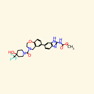 COC(=O)Nc1nc2ccc(-c3ccc4c(c3)CN(C(=O)N3CCC(O)(C(F)(F)F)CC3)CCO4)cc2[nH]1